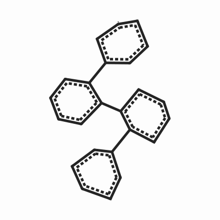 [c]1cccc(-c2ccccc2-c2ccccc2-c2ccccc2)c1